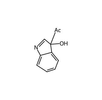 CC(=O)C1(O)C=Nc2ccccc21